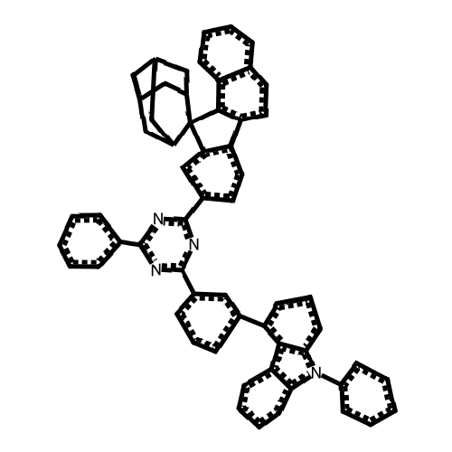 c1ccc(-c2nc(-c3cccc(-c4cccc5c4c4ccccc4n5-c4ccccc4)c3)nc(-c3ccc4c(c3)C3(c5c-4ccc4ccccc54)C4CC5CC(C4)CC3C5)n2)cc1